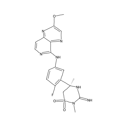 COc1cnc2c(Nc3ccc(F)c([C@]4(C)CS(=O)(=O)N(C)C(=N)N4)c3)nccc2n1